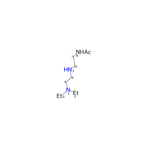 CCN(CC)CCNCCNC(C)=O